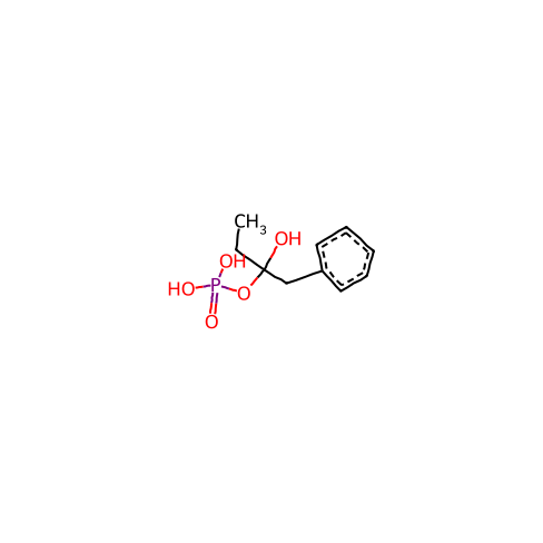 CCC(O)(Cc1ccccc1)OP(=O)(O)O